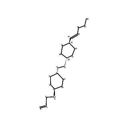 C=CCO[C@H]1CC[C@H](CC[C@H]2CC[C@H](C=CCCC)CC2)CC1